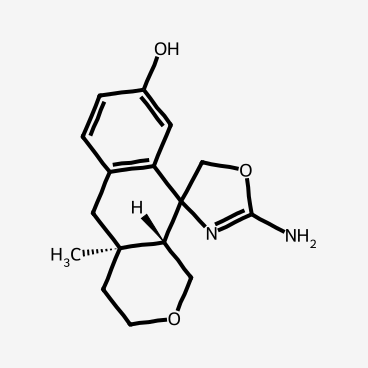 C[C@@]12CCOC[C@H]1C1(COC(N)=N1)c1cc(O)ccc1C2